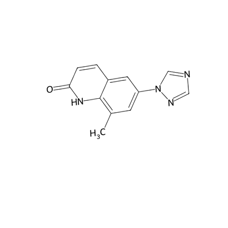 Cc1cc(-n2cncn2)cc2ccc(=O)[nH]c12